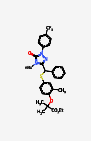 CCCCn1c(C(Sc2ccc(OC(C)(C)C(=O)OCC)c(C)c2)c2ccccc2)nn(-c2ccc(C(F)(F)F)cc2)c1=O